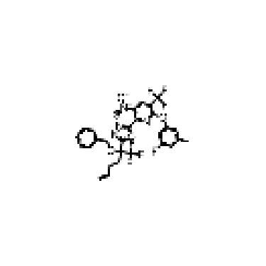 C=CCCC(OCc1ccccc1)(c1nnc(-c2nc(Oc3cc(F)cc(I)c3)c(C(F)(F)F)cc2[N+](=O)[O-])o1)C(F)(F)F